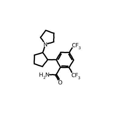 NC(=O)c1c(C2CCCC2N2CCCC2)cc(C(F)(F)F)cc1C(F)(F)F